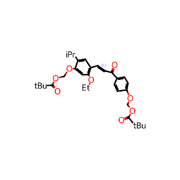 CCOc1cc(OCOC(=O)C(C)(C)C)c(C(C)C)cc1/C=C/C(=O)c1ccc(OCOC(=O)C(C)(C)C)cc1